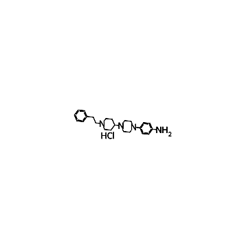 Cl.Nc1ccc(N2CCN(C3CCN(CCc4ccccc4)CC3)CC2)cc1